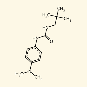 CN(C)c1ccc(NC(=O)NCC(C)(C)C)cc1